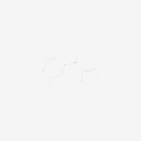 O=C(c1ccnc(Cl)c1)c1ncc[nH]1